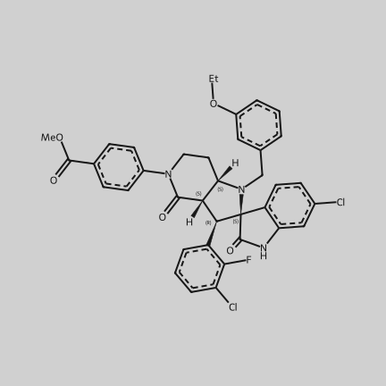 CCOc1cccc(CN2[C@H]3CCN(c4ccc(C(=O)OC)cc4)C(=O)[C@H]3[C@H](c3cccc(Cl)c3F)[C@]23C(=O)Nc2cc(Cl)ccc23)c1